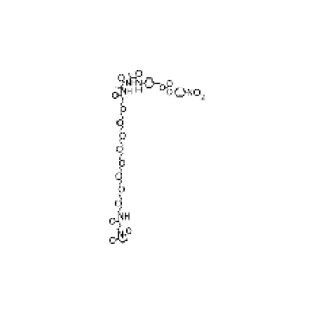 C[C@H](NC(=O)CCOCCOCCOCCOCCOCCOCCOCCOCCNC(=O)CCN1C(=O)C=CC1=O)C(=O)N[C@@H](C)C(=O)Nc1ccc(COC(=O)Oc2ccc([N+](=O)[O-])cc2)cc1